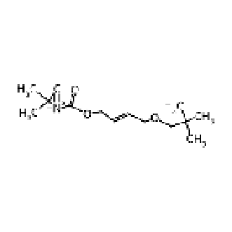 CC(C)(C)COCC=CCOC(=O)NC(C)(C)C